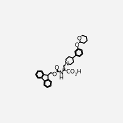 O=C(N[C@H](CN1CCC(c2cccc(OC3CCCCO3)c2)CC1)C(=O)O)OCC1c2ccccc2-c2ccccc21